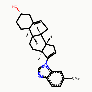 COc1ccc2ncn(C3=CC[C@H]4[C@@H]5CC=C6C[C@@H](O)CC[C@]6(C)[C@H]5CC[C@]34C)c2c1